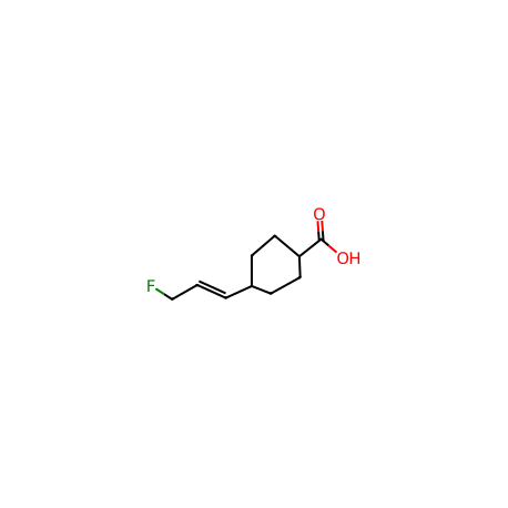 O=C(O)C1CCC(/C=C/CF)CC1